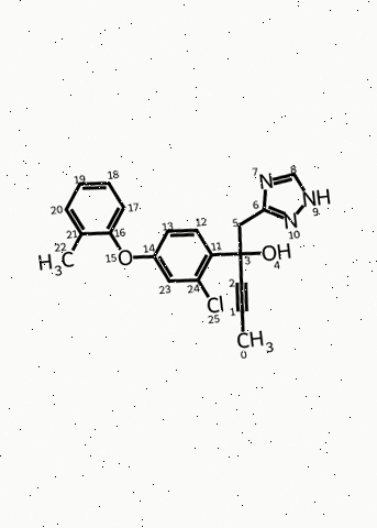 CC#CC(O)(Cc1nc[nH]n1)c1ccc(Oc2ccccc2C)cc1Cl